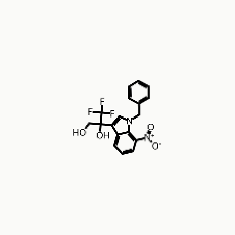 O=[N+]([O-])c1cccc2c(C(O)(CO)C(F)(F)F)cn(Cc3ccccc3)c12